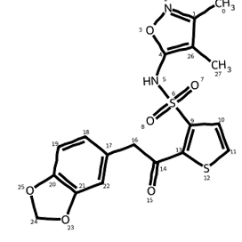 Cc1noc(NS(=O)(=O)c2ccsc2C(=O)Cc2ccc3c(c2)OCO3)c1C